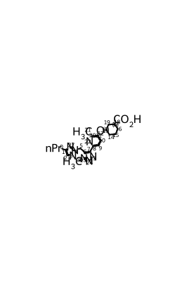 CCCc1cnn(Cc2c(-c3ccc(O[C@H]4CCC[C@H](C(=O)O)C4)c(C)n3)nnn2C)n1